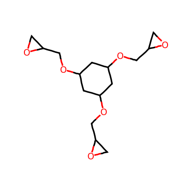 C1OC1COC1CC(OCC2CO2)CC(OCC2CO2)C1